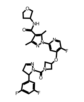 Cc1nn(-c2cc(OC3CN(C(=O)N4N=CCC4c4cc(F)cc(F)c4)C3)c(F)cn2)c(C)c1C(=O)NC1CCOC1